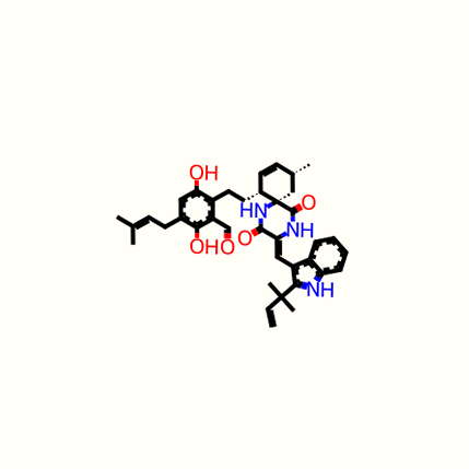 C=CC(C)(C)c1[nH]c2ccccc2c1/C=C1\NC(=O)[C@@]2(C[C@@H](C)C=C[C@H]2CCc2c(O)cc(CC=C(C)C)c(O)c2C=O)NC1=O